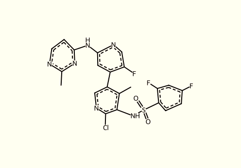 Cc1nccc(Nc2cc(-c3cnc(Cl)c(NS(=O)(=O)c4ccc(F)cc4F)c3C)c(F)cn2)n1